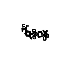 Cc1ccc(C(F)(F)F)cc1S(=O)(=O)N1CC[N+](C(=O)[O-])(C(C)(C)C)CC1